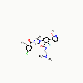 CCOc1ncccc1-c1ccc(N2CCN(C(=O)c3ccc(Cl)cc3C(F)(F)F)C[C@H]2CC)c(C(=O)NCCN(C)C)c1F